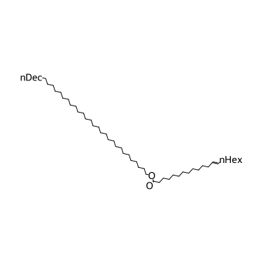 CCCCCCC=CCCCCCCCCCCCC(=O)OCCCCCCCCCCCCCCCCCCCCCCCCCCCCCCCCCCCCCC